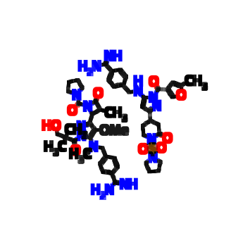 COc1c(C2C(C)C(=O)N2C(=O)N2CCCC2)nn(C(=O)C(C)(C)CO)c1N(C)Cc1ccc(C(=N)N)cc1.Cc1cc(C(=O)n2nc(C3CCN(S(=O)(=O)N4CCCC4)C(=O)C3)cc2NCc2ccc(C(=N)N)cc2)co1